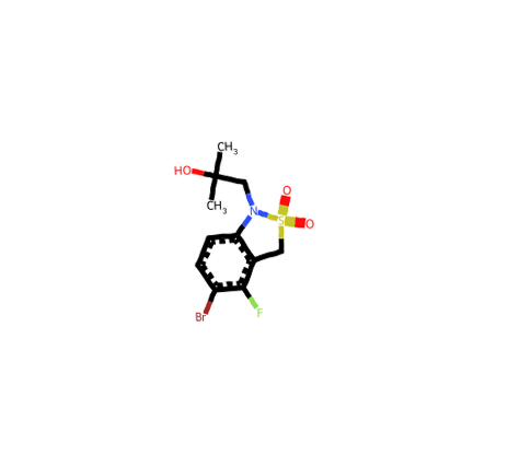 CC(C)(O)CN1c2ccc(Br)c(F)c2CS1(=O)=O